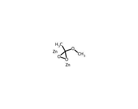 COC1(C)OO1.[Zn].[Zn]